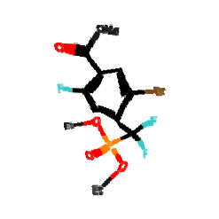 CCOP(=O)(OCC)C(F)(F)c1cc(F)c(C(=O)OC)cc1Br